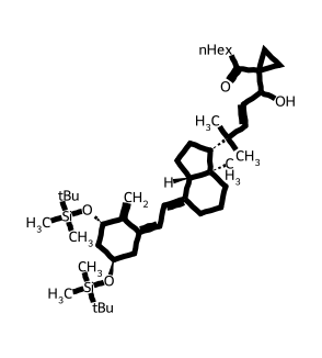 C=C1/C(=C\C=C2/CCC[C@]3(C)[C@@H](C(C)(C)/C=C/C(O)C4(C(=O)CCCCCC)CC4)CC[C@@H]23)C[C@@H](O[Si](C)(C)C(C)(C)C)C[C@@H]1O[Si](C)(C)C(C)(C)C